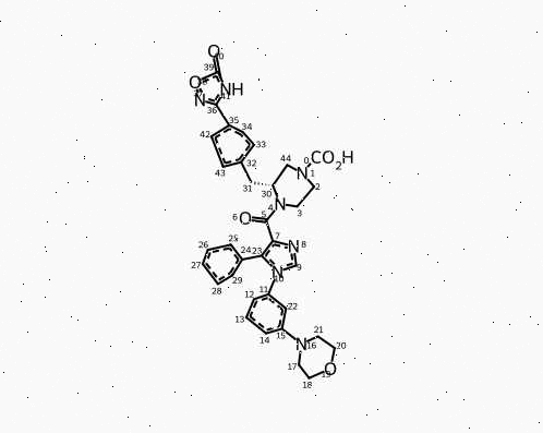 O=C(O)N1CCN(C(=O)c2ncn(-c3cccc(N4CCOCC4)c3)c2-c2ccccc2)[C@H](Cc2ccc(-c3noc(=O)[nH]3)cc2)C1